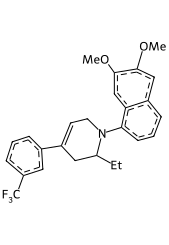 CCC1CC(c2cccc(C(F)(F)F)c2)=CCN1c1cccc2cc(OC)c(OC)cc12